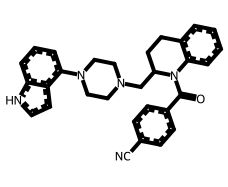 N#Cc1ccc(C(=O)N2c3ccccc3CCC2CN2CCN(c3cccc4[nH]ccc34)CC2)cc1